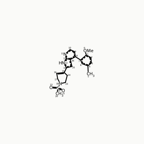 COc1ccc(C)cc1-c1ccnc2[nH]c(C3=CCN(S(C)(=O)=O)CC3)cc12